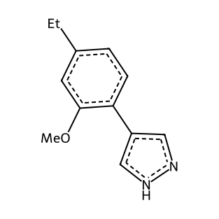 CCc1ccc(-c2cn[nH]c2)c(OC)c1